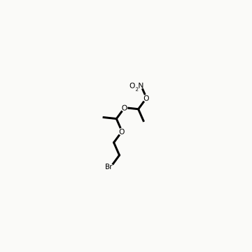 CC(OCCBr)OC(C)O[N+](=O)[O-]